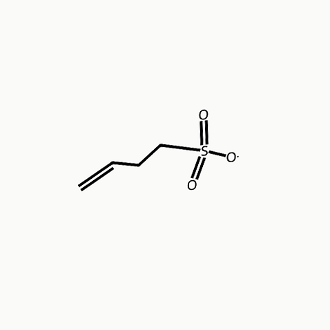 C=CCCS([O])(=O)=O